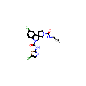 CCNC(=O)N1CCC2(C1)CN(C(=O)Nc1ncc(Cl)s1)c1ccc(Cl)cc12